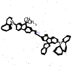 CC1(C)c2cc(/C=C/c3ccc4c(c3)C3(Cc5ccccc5C3)c3cc(N5C6=C(C=Cc7ccccc75)CCC=C6)ccc3-4)ccc2-c2ccc(N3CCCc4ccccc43)cc21